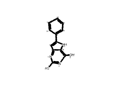 Oc1nc(S)nc2cc(-c3ccccc3)[nH]c12